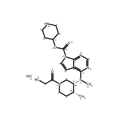 C[C@@H]1CCN(C(=O)CC#N)C[C@@H]1N(C)c1ncnc2c1ccn2C(=S)OC1CCNCC1.Cl